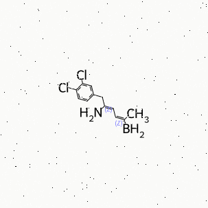 B/C(C)=C/C=C(\N)Cc1ccc(Cl)c(Cl)c1